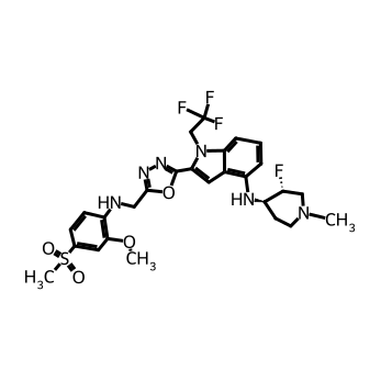 COc1cc(S(C)(=O)=O)ccc1NCc1nnc(-c2cc3c(N[C@@H]4CCN(C)C[C@H]4F)cccc3n2CC(F)(F)F)o1